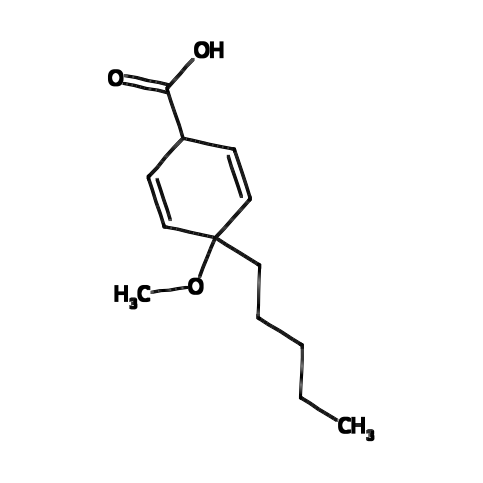 CCCCCC1(OC)C=CC(C(=O)O)C=C1